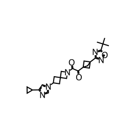 CC(C)(C)c1nc(C23CC(C(=O)C(=O)N4CC5(CC(n6cnc(C7CC7)c6)C5)C4)(C2)C3)no1